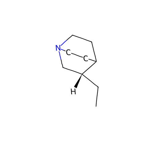 CC[C@@H]1CN2CCC1CC2